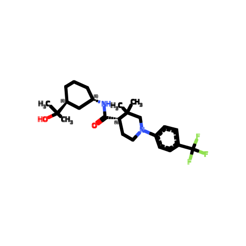 CC(C)(O)[C@H]1CCC[C@H](NC(=O)[C@H]2CCN(c3ccc(C(F)(F)F)cc3)CC2(C)C)C1